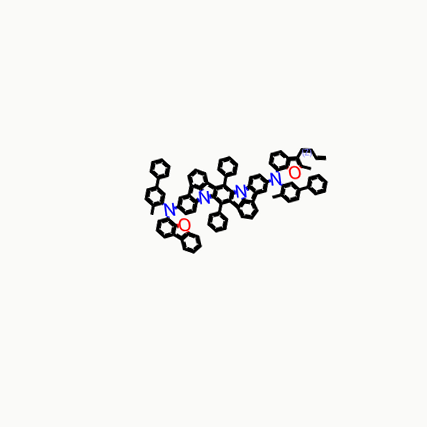 C=C/C=C\c1c(C)oc2c(N(c3ccc4c(c3)c3cccc5c6c(-c7ccccc7)c7c(c(-c8ccccc8)c6n4c35)c3cccc4c5cc(N(c6cc(-c8ccccc8)ccc6C)c6cccc8c6oc6ccccc68)ccc5n7c43)c3cc(-c4ccccc4)ccc3C)cccc12